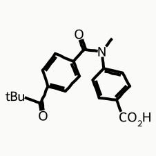 CN(C(=O)c1ccc(C(=O)C(C)(C)C)cc1)c1ccc(C(=O)O)cc1